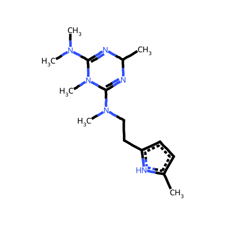 Cc1ccc(CCN(C)C2=NC(C)N=C(N(C)C)N2C)[nH]1